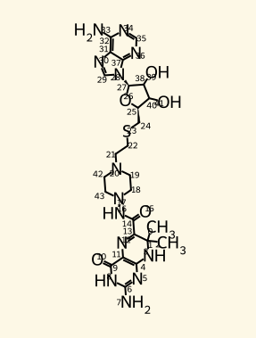 CC1(C)Nc2nc(N)[nH]c(=O)c2N=C1C(=O)NN1CCN(CCSC[C@H]2O[C@@H](n3cnc4c(N)ncnc43)C(O)C2O)CC1